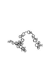 CCCOc1cccc(Oc2cc3c(cc2NS(=O)(=O)c2cccc(C(=O)N4CCC(CC5CCN(CC6CCN(c7ccc(C8CCC(=O)NC8=O)cn7)CC6)CC5)CC4)c2)n(C)c(=O)n3C)c1